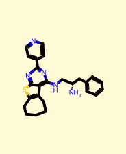 N[C@H](CNc1nc(-c2ccncc2)nc2sc3c(c12)CCCCC3)Cc1ccccc1